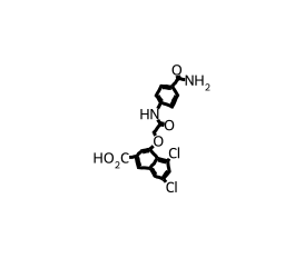 NC(=O)c1ccc(NC(=O)COc2cc(C(=O)O)cc3cc(Cl)cc(Cl)c23)cc1